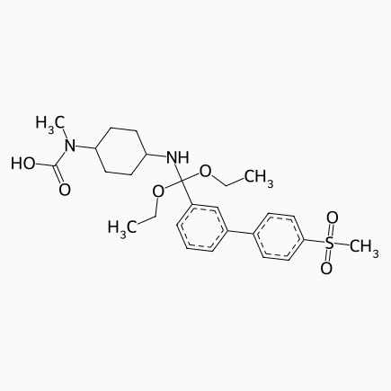 CCOC(NC1CCC(N(C)C(=O)O)CC1)(OCC)c1cccc(-c2ccc(S(C)(=O)=O)cc2)c1